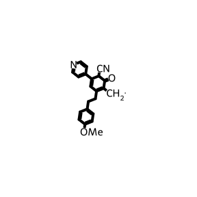 [CH2]C1=C(CCc2ccc(OC)cc2)C=C(c2ccncc2)C(C#N)C1=O